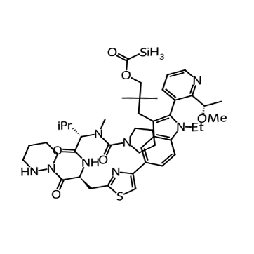 CCn1c(-c2cccnc2[C@H](C)OC)c(CC(C)(C)COC(=O)[SiH3])c2cc(-c3csc(C[C@H](NC(=O)[C@H](C(C)C)N(C)C(=O)N4CCCC4)C(=O)N4CCCCN4)n3)ccc21